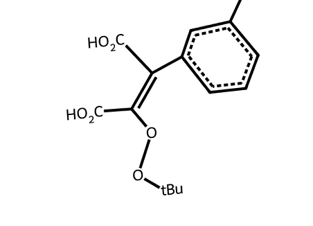 Cc1cccc(C(C(=O)O)=C(OOC(C)(C)C)C(=O)O)c1